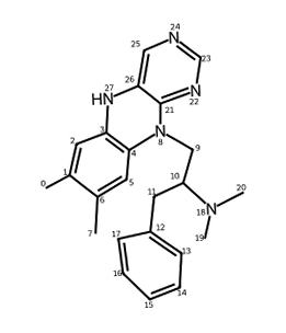 Cc1cc2c(cc1C)N(CC(Cc1ccccc1)N(C)C)c1ncncc1N2